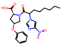 CCCCCCC(C(=O)N1C[C@@H](Oc2ccccc2)C[C@H]1C(=O)O)n1cnc([N+](=O)[O-])c1